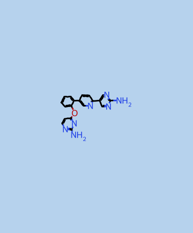 Nc1ncc(-c2ccc(-c3ccccc3Oc3ccnc(N)n3)cn2)cn1